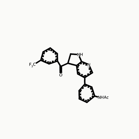 CC(=O)Nc1cccc(-c2cnc3c(c2)C(C(=O)c2cccc(C(F)(F)F)c2)CN3)c1